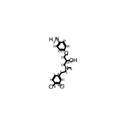 CN(CCc1ccc(Cl)c(Cl)c1)CC(O)COc1ccc(N)cc1